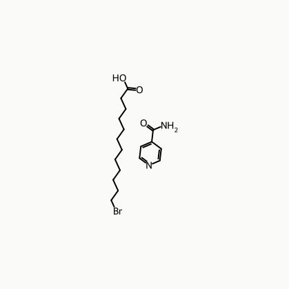 NC(=O)c1ccncc1.O=C(O)CCCCCCCCCCCBr